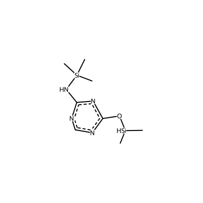 C[SiH](C)Oc1ncnc(N[Si](C)(C)C)n1